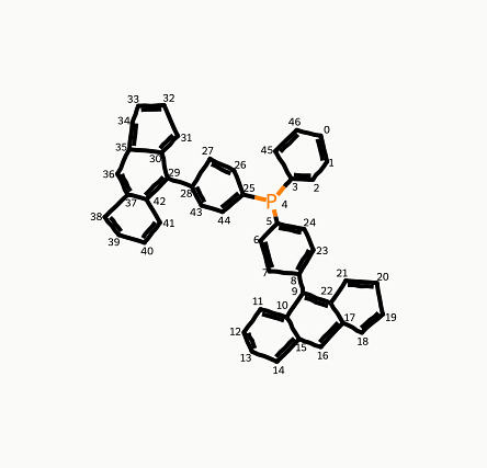 c1ccc(P(c2ccc(-c3c4ccccc4cc4ccccc34)cc2)c2ccc(-c3c4ccccc4cc4ccccc34)cc2)cc1